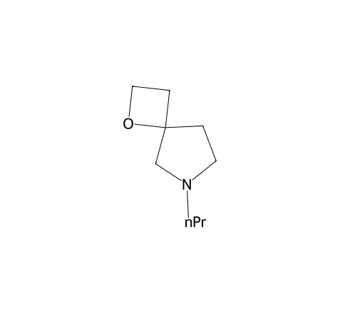 CCCN1CCC2(CCO2)C1